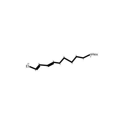 [CH2]CCCCCCCCCCC=CC=CCC